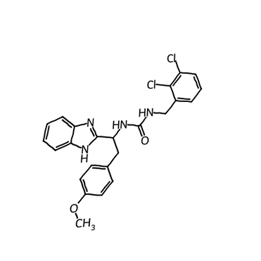 COc1ccc(CC(NC(=O)NCc2cccc(Cl)c2Cl)c2nc3ccccc3[nH]2)cc1